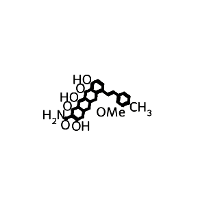 COc1cc(/C=C/c2ccc(O)c3c2CC2CC4CC(O)=C(C(N)=O)C(=O)C4C(O)=C2C3=O)ccc1C